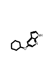 c1cc2cc(OC3CCCCC3)cnc2[nH]1